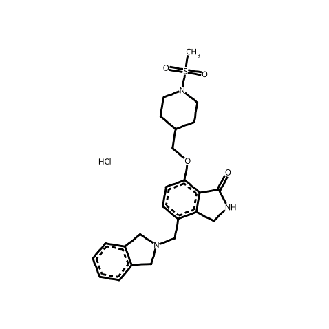 CS(=O)(=O)N1CCC(COc2ccc(CN3Cc4ccccc4C3)c3c2C(=O)NC3)CC1.Cl